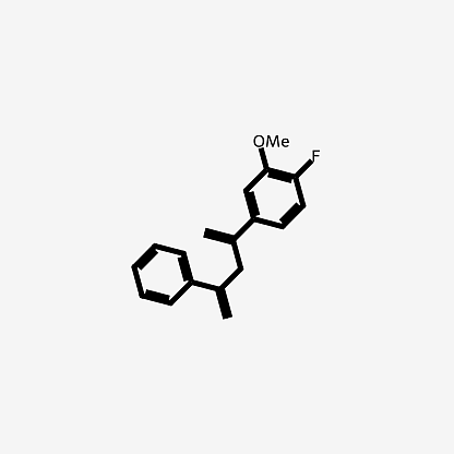 C=C(CC(=C)c1ccc(F)c(OC)c1)c1ccccc1